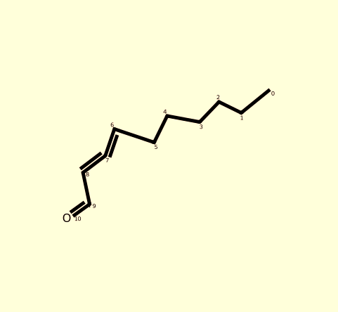 CCCCCCC=C=C[C]=O